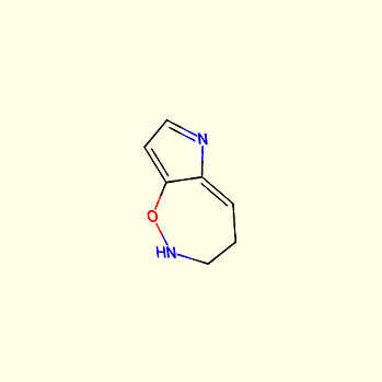 C1=NC2=CCCNOC2=C1